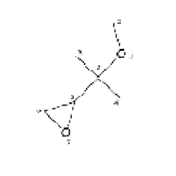 COC(C)(C)C1CO1